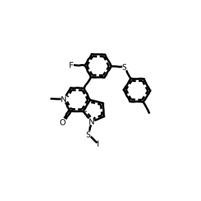 Cc1ccc(Sc2ccc(F)c(-c3cn(C)c(=O)c4c3ccn4SI)c2)cc1